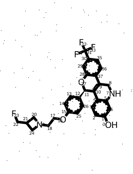 Oc1ccc2c(c1)NCC1=C2[C@@H](c2ccc(OCCN3CC(CF)C3)cc2)Oc2cc(C(F)(F)F)ccc21